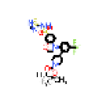 CC(C)(C)OC(=O)N1CC=C(c2cc(C(F)(F)F)ccc2N2CCOc3cc(S(=O)(=O)Nc4ncns4)ccc32)CC1